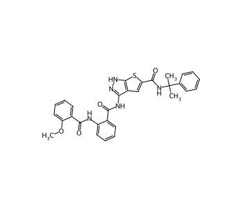 COc1ccccc1C(=O)Nc1ccccc1C(=O)Nc1n[nH]c2sc(C(=O)NC(C)(C)c3ccccc3)cc12